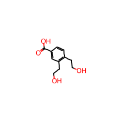 O=C(O)c1ccc(CCO)c(CCO)c1